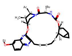 CCOc1ccc2nc3c(nc2c1)O[C@H]1CN(C(=O)[C@H](C(C)(C)C)NC(=O)O[C@@H]2CC4CC4[C@H]2CCCCC3)[C@H](C(C)=O)[C@@H]1C